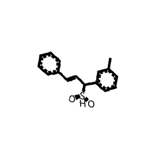 Cc1cccc(C(C=Cc2ccccc2)[SH](=O)=O)c1